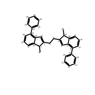 CC1C(CCC2=Cc3c(-c4ccccc4)cccc3C2C)=Cc2c(-c3ccccc3)cccc21